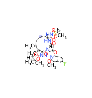 CC[C@@H]1C[C@H](C)CC/C=C\C2C[C@@]2(C(=O)NS(=O)(=O)C2(C)CC2)NC(=O)[C@@H]2C[C@@H](Oc3nc(OC)cc4cc(F)ccc34)CN2C(=O)[C@H]1NC(=O)OC(C)(C)C